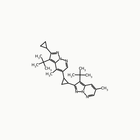 Cc1cnn2nc(C3CC3c3cnn4nc(C5CC5)c(C(C)(C)C)c4c3C)c(C(C)(C)C)c2c1